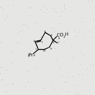 CC(C)C1/C=C/CCC(C)(C(=O)O)CC1